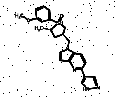 COc1cccc([SH]2(=O)C[C@@H](Cn3ccc4nc(-c5cn[nH]c5)ccc43)C[C@@H]2C)c1